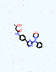 C[C@@H](O)CC(=O)Nc1ccc(-c2ccnc(N(c3ccccc3)N3CCOCC3)n2)cc1